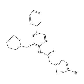 O=C(Cc1ccc(Br)cc1)Nc1ncc(-c2ccccc2)nc1CC1CCCCC1